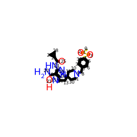 CS(=O)(=O)c1ccc(CN2CCC(CC#N)(n3cc(C(N)O)c(NC(=O)C4CC4)n3)CC2)cc1